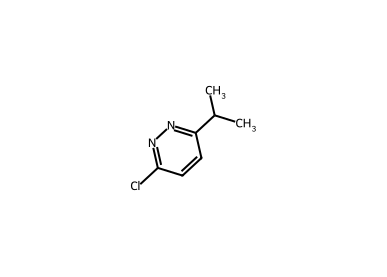 CC(C)c1ccc(Cl)nn1